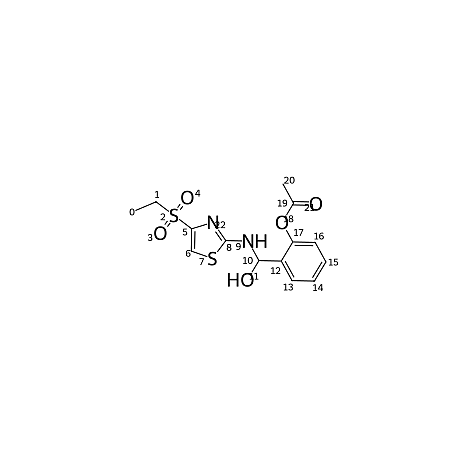 CCS(=O)(=O)c1csc(NC(O)c2ccccc2OC(C)=O)n1